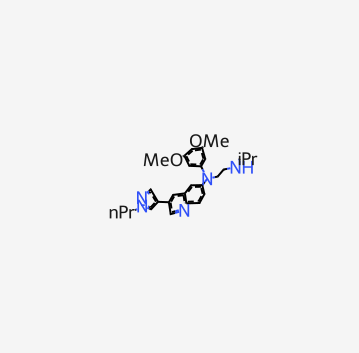 CCCn1cc(-c2cnc3ccc(N(CCNC(C)C)c4cc(OC)cc(OC)c4)cc3c2)cn1